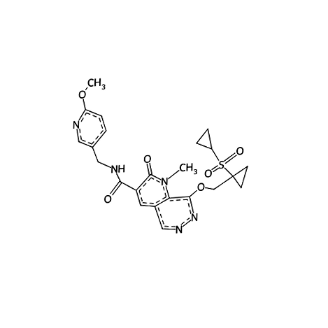 COc1ccc(CNC(=O)c2cc3cnnc(OCC4(S(=O)(=O)C5CC5)CC4)c3n(C)c2=O)cn1